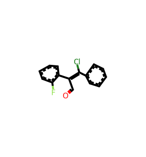 O=C/C(=C(/Cl)c1ccccc1)c1ccccc1F